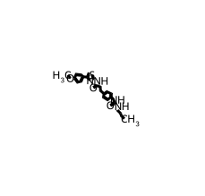 CCCCNC(=O)Nc1ccc(CCC(=O)Nc2nc(-c3ccc(OC)cc3)cs2)cc1